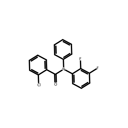 O=C(c1ccccc1Cl)N(c1ccccc1)c1cccc(F)c1F